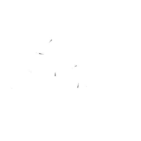 C=C(C)[C@@H]1CC[C@]2(C(=O)NCCN)CC[C@]3(C)[C@H](CC[C@@H]4[C@@]5(C)CC=C(c6ccc(OC=O)cc6)C(C)(C)[C@@H]5CC[C@]43C)[C@@H]12